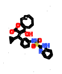 O=c1oc2c(c(O)c1C(c1cccc(NS(=O)(=O)c3nc4ccccc4[nH]3)c1)C1CC1)CCCCCC2